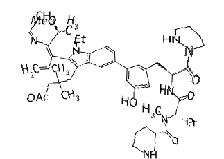 C=C/C(=C(\N=C/C)[C@H](C)OC)c1c(CC(C)(C)COC(C)=O)c2cc(-c3cc(O)cc(C[C@H](NC(=O)[C@H](C(C)C)N(C)C(=O)[C@H]4CCCNC4)C(=O)N4CCCCN4)c3)ccc2n1CC